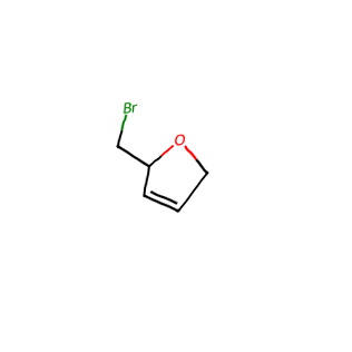 BrCC1C=CCO1